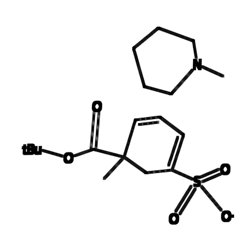 CC(C)(C)OC(=O)C1(C)C=CC=C(S([O])(=O)=O)C1.CN1CCCCC1